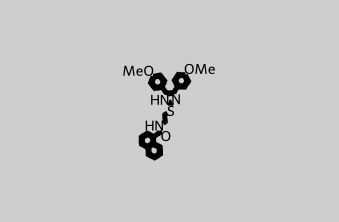 COc1ccc(-c2nc(SCCNC(=O)c3cccc4ccccc34)[nH]c2-c2ccc(OC)cc2)cc1